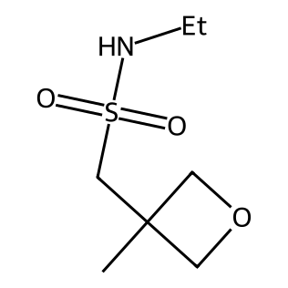 CCNS(=O)(=O)CC1(C)COC1